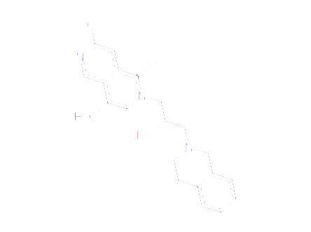 Cc1cn(CC(O)CN2CCc3ccccc3C2)c(=O)c2cc(Cl)ncc12